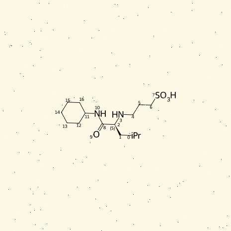 CC(C)C[C@H](NCCCS(=O)(=O)O)C(=O)NC1CCCCC1